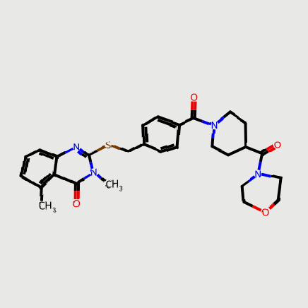 Cc1cccc2nc(SCc3ccc(C(=O)N4CCC(C(=O)N5CCOCC5)CC4)cc3)n(C)c(=O)c12